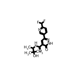 CC(NC(=O)c1cc(-c2ccc(C(F)F)nc2)n[nH]c1=O)C(C)(C)O